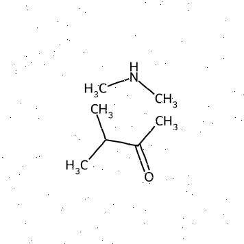 CC(=O)C(C)C.CNC